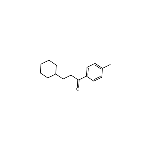 Cc1ccc(C(=O)CCC2CCCCC2)cc1